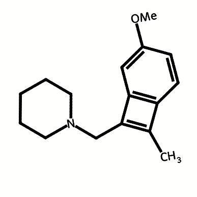 COc1ccc2c(c1)C(CN1CCCCC1)=C2C